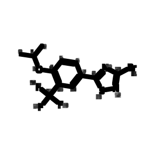 CC(C)Oc1ccc(-c2nc(Br)ns2)cc1C(F)(F)F